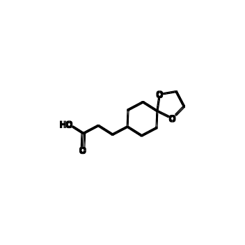 O=C(O)CCC1CCC2(CC1)OCCO2